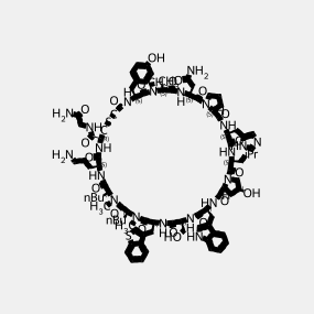 CCCC[C@H]1C(=O)N(C)[C@@H](CCCC)C(=O)N[C@@H](CCCN)C(=O)N[C@H](C(=O)NCC(N)=O)CSCC(=O)N[C@@H](Cc2ccc(O)cc2)C(=O)N(C)[C@@H](C)C(=O)N[C@@H](CC(N)=O)C(=O)N2CCC[C@H]2C(=O)N[C@@H](Cc2cnc[nH]2)C(=O)N[C@@H](CC(C)C)C(=O)N2C[C@@H](O)C[C@H]2C(=O)N[C@@H](Cc2c[nH]c3ccccc23)C(=O)N[C@@H](CO)C(=O)N[C@@H](Cc2csc3ccccc23)C(=O)N1C